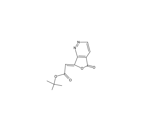 CC(C)(C)OC(=O)C=C1OC(=O)c2ccnnc21